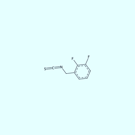 Fc1cccc(CN=C=S)c1F